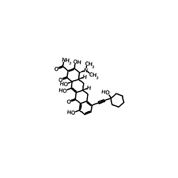 CN(C)[C@@H]1C(O)=C(C(N)=O)C(=O)[C@@]2(O)C(O)=C3C(=O)c4c(O)ccc(C#CC5(O)CCCCC5)c4C[C@H]3C[C@@H]12